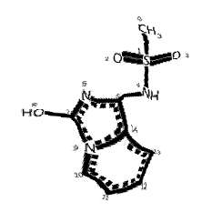 CS(=O)(=O)Nc1nc(O)n2ccccc12